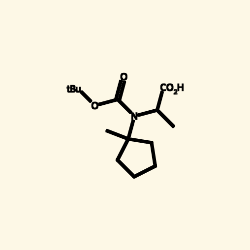 CC(C(=O)O)N(C(=O)OC(C)(C)C)C1(C)CCCC1